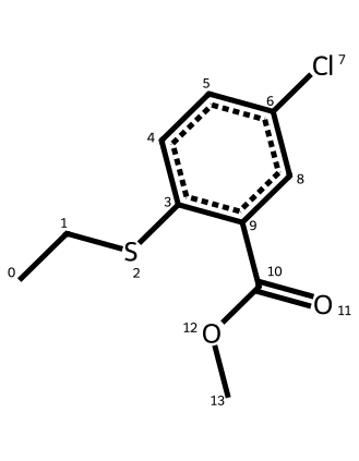 CCSc1ccc(Cl)cc1C(=O)OC